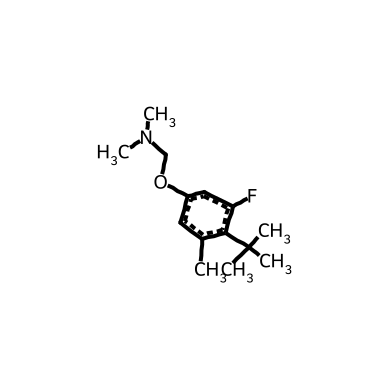 Cc1cc(OCN(C)C)cc(F)c1C(C)(C)C